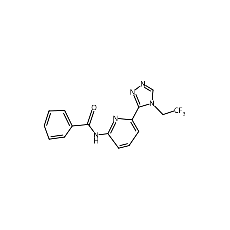 O=C(Nc1cccc(-c2nncn2CC(F)(F)F)n1)c1ccccc1